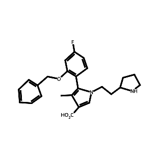 Cc1c(C(=O)O)cn(CCC2CCCN2)c1-c1ccc(F)cc1OCc1ccccc1